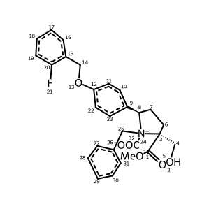 COC(=O)[C@]1(CO)CC[C@H](c2ccc(OCc3ccccc3F)cc2)[N+]1(Cc1ccccc1)C(=O)[O-]